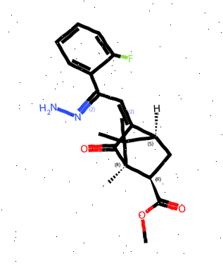 COC(=O)[C@@H]1C[C@@H]2/C(=C/C(=N/N)c3ccccc3F)C(=O)[C@@]1(C)C2(C)C